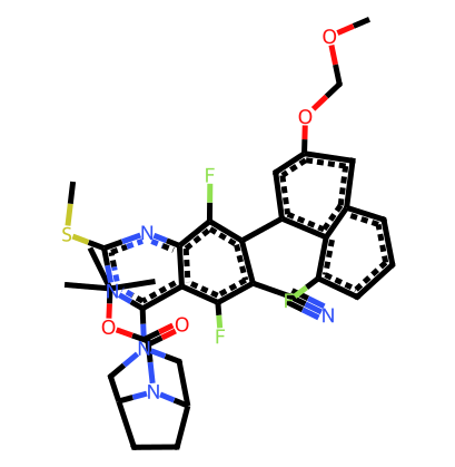 COCOc1cc(-c2c(C#N)c(F)c3c(N4CC5CCC(C4)N5C(=O)OC(C)(C)C)nc(SC)nc3c2F)c2c(F)cccc2c1